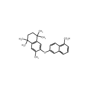 Cc1cc2c(cc1Oc1ccc3c(C(=O)O)cccc3c1)C(C)(C)CCC2(C)C